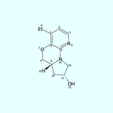 CCc1ccnc2c1OC[C@H]1C[C@@H](O)CN21